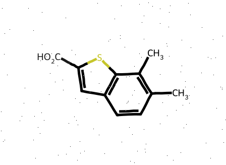 Cc1ccc2cc(C(=O)O)sc2c1C